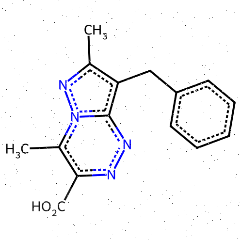 Cc1nn2c(C)c(C(=O)O)nnc2c1Cc1ccccc1